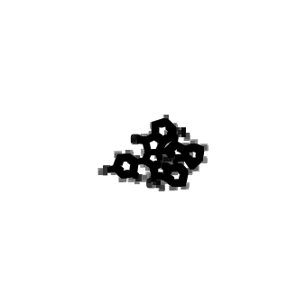 Cc1c(C23c4ccccc4C(=O)C2C(c2ccc(F)cc2F)c2c(C)c4ccccc4n23)[nH]c2ccccc12